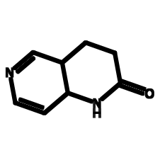 O=C1CCC2C=NC=CC2N1